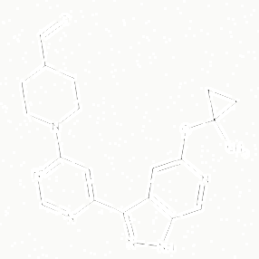 CC1(Oc2cc3c(-c4cc(N5CCC(C=O)CC5)ncn4)n[nH]c3cn2)CC1